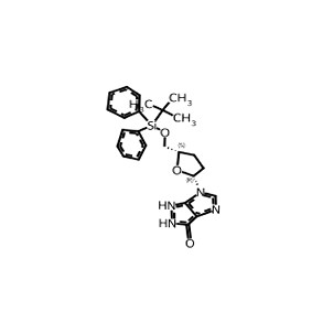 CC(C)(C)[Si](OC[C@@H]1CC[C@H](n2cnc3c(=O)[nH][nH]c32)O1)(c1ccccc1)c1ccccc1